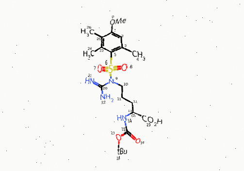 COc1cc(C)c(S(=O)(=O)N(CCC[C@H](NC(=O)OC(C)(C)C)C(=O)O)C(=N)N)c(C)c1C